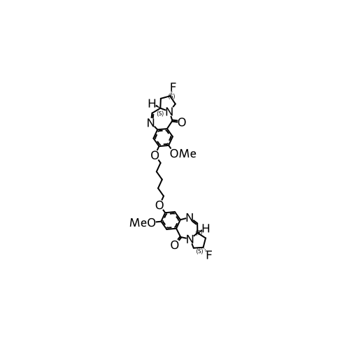 COc1cc2c(cc1OCCCCCOc1cc3c(cc1OC)C(=O)N1C[C@@H](F)C[C@H]1C=N3)N=C[C@@H]1C[C@H](F)CN1C2=O